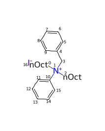 CCCCCCCC[N+](CCCCCCCC)(Cc1ccccc1)c1ccccc1.[I-]